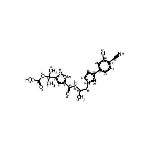 CC(=O)OC(C)(C)c1cc(C(=O)NC(C)Cn2ccc(-c3ccc(C#N)c(Cl)c3)n2)no1